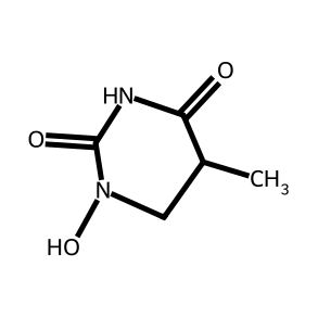 CC1CN(O)C(=O)NC1=O